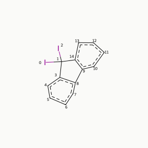 IC1(I)c2ccccc2-c2ccccc21